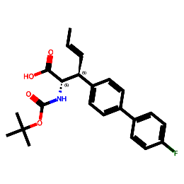 CC=C[C@@H](c1ccc(-c2ccc(F)cc2)cc1)[C@H](NC(=O)OC(C)(C)C)C(=O)O